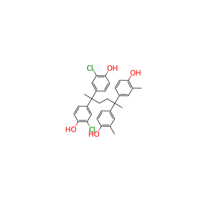 Cc1cc(C(C)(CCC(C)(c2ccc(O)c(Cl)c2)c2ccc(O)c(Cl)c2)c2ccc(O)c(C)c2)ccc1O